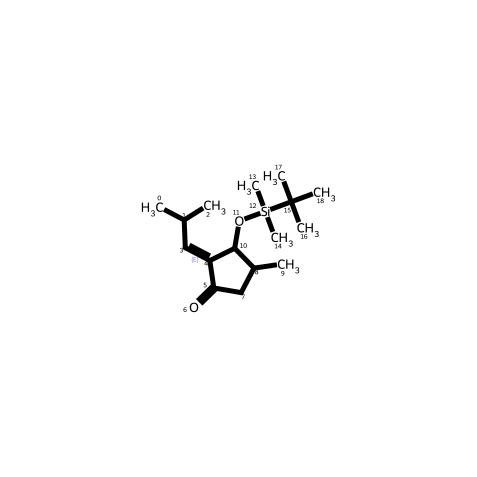 CC(C)/C=C1/C(=O)CC(C)C1O[Si](C)(C)C(C)(C)C